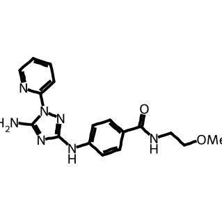 COCCNC(=O)c1ccc(Nc2nc(N)n(-c3ccccn3)n2)cc1